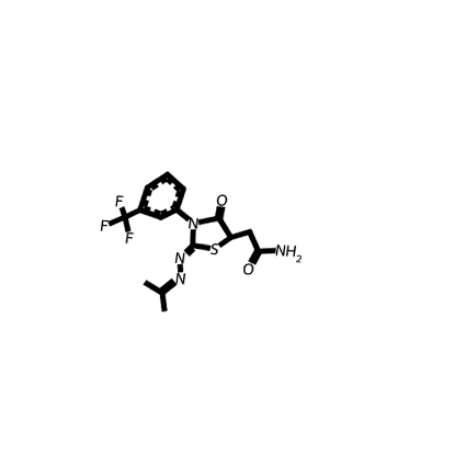 CC(C)=NN=C1SC(CC(N)=O)C(=O)N1c1cccc(C(F)(F)F)c1